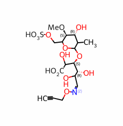 C#CCO/N=C\C(O)[C@@H](O)[C@H](OC1OC(COS(=O)(=O)O)[C@@H](OC)[C@H](O)C1C)C(O)C(=O)O